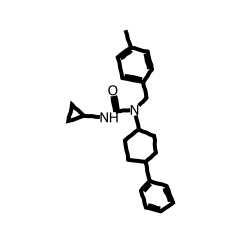 Cc1ccc(CN(C(=O)NC2CC2)C2CCC(c3ccccc3)CC2)cc1